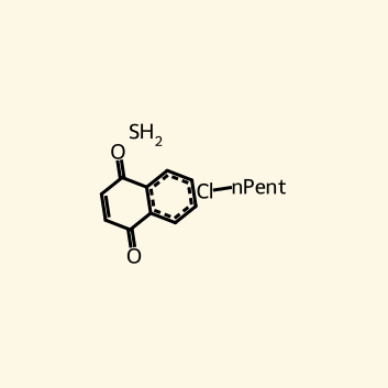 CCCCCCl.O=C1C=CC(=O)c2ccccc21.S